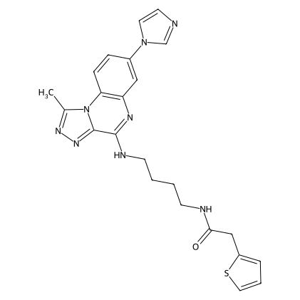 Cc1nnc2c(NCCCCNC(=O)Cc3cccs3)nc3cc(-n4ccnc4)ccc3n12